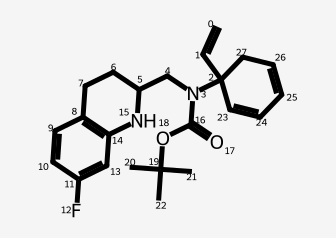 C=CC1(N(CC2CCc3ccc(F)cc3N2)C(=O)OC(C)(C)C)C=CC=CC1